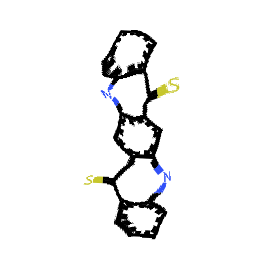 S=C1c2ccccc2N=c2cc3c(cc21)=Nc1ccccc1C3=S